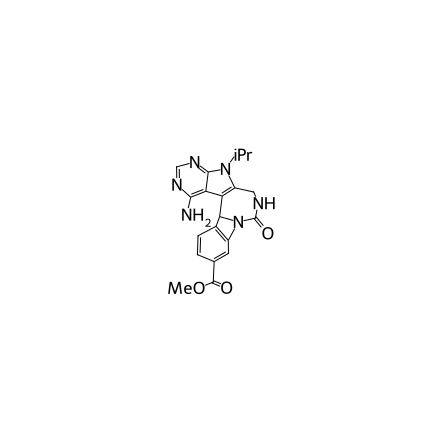 COC(=O)c1ccc2c(c1)N1C(=O)NCc3c(c4c(N)ncnc4n3C(C)C)C21